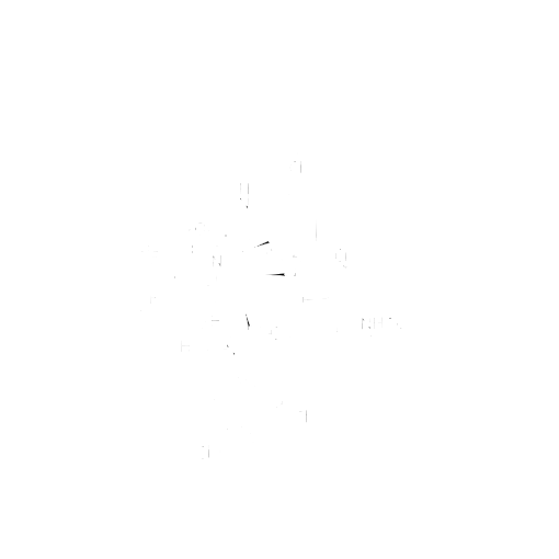 CC(=O)NCCOC(=O)[C@H]1[C@@H](C(=O)N(C)c2cc(Cl)cc(Cl)c2)[C@H]2CC(F)(F)CN2[C@]12C(=O)Nc1c(Cl)cc(Cl)cc12